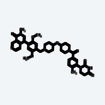 COc1cc(-c2cn(C)c(=O)c3cnccc23)c(OC)cc1CN1CCC(OC2CCN(C(=O)c3ccc(C)c(N4CCC(=O)NC4=O)c3)CC2)CC1